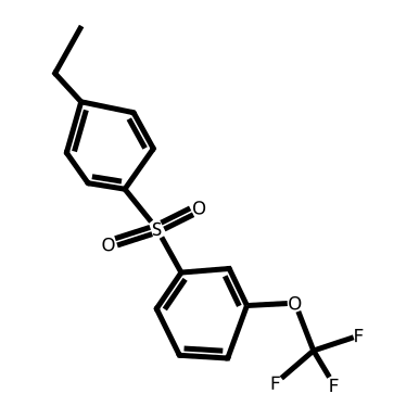 CCc1ccc(S(=O)(=O)c2cccc(OC(F)(F)F)c2)cc1